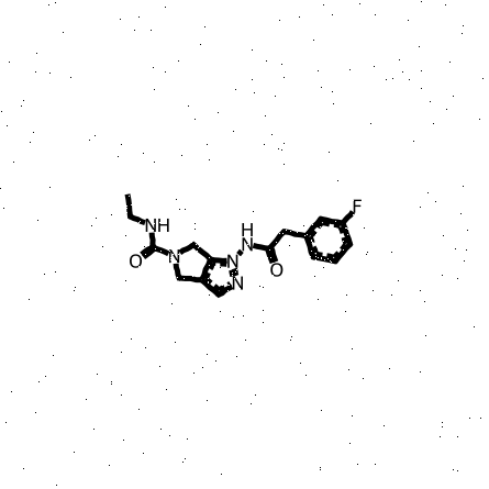 CCNC(=O)N1Cc2cnn(NC(=O)Cc3cccc(F)c3)c2C1